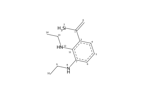 C=C([SiH3])c1cccc(NCC)c1NCC